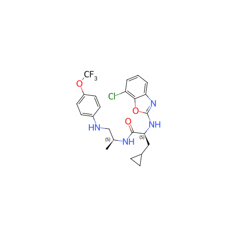 C[C@@H](CNc1ccc(OC(F)(F)F)cc1)NC(=O)[C@H](CC1CC1)Nc1nc2cccc(Cl)c2o1